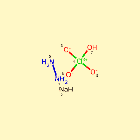 NN.[NaH].[O-][Cl+3]([O-])([O-])O